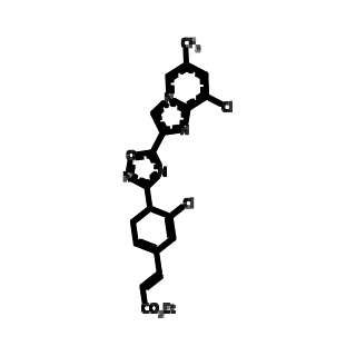 CCOC(=O)/C=C/C1=CCC(c2noc(-c3cn4cc(C(F)(F)F)cc(Cl)c4n3)n2)C(Cl)=C1